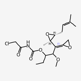 CCC(OC(=O)NC(=O)CCl)C(OC)/C(=C1/CO1)[C@@]1(C)O[C@@H]1CC=C(C)C